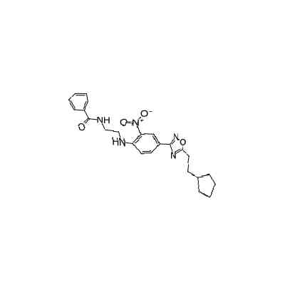 O=C(NCCNc1ccc(-c2noc(CCC3CCCC3)n2)cc1[N+](=O)[O-])c1ccccc1